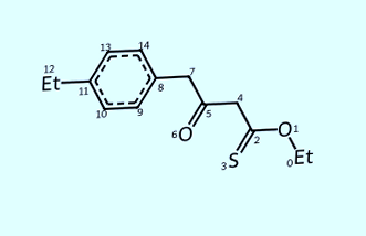 CCOC(=S)CC(=O)Cc1ccc(CC)cc1